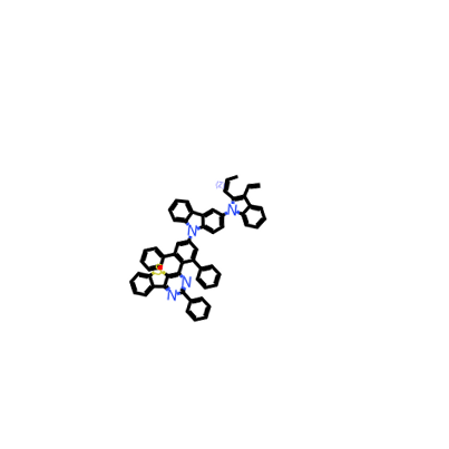 C=Cc1c(/C=C\C)n(-c2ccc3c(c2)c2ccccc2n3-c2cc(-c3ccccc3)c(-c3nc(-c4ccccc4)nc4c3sc3ccccc34)c(-c3ccccc3)c2)c2ccccc12